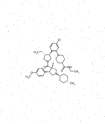 CCNC(=O)C1CCN(c2cc(Cl)ccc2[C@H]2CN(C(=O)[C@]3(F)CN([C@H]4CC[C@H](C)CC4)C[C@H]3c3ccc(OC)cc3)C[C@@H]2CC)CC1